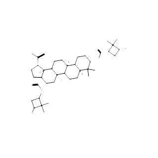 C=C(C)[C@@H]1CC[C@]2(C(=O)NC3CC(C(=O)O)C3(C)C)CC[C@]3(C)[C@H](CC[C@@H]4[C@@]5(C)CC[C@H](OC(=O)[C@H]6C[C@@H](C(=O)O)C6(C)C)C(C)(C)[C@@H]5CC[C@]43C)[C@@H]12